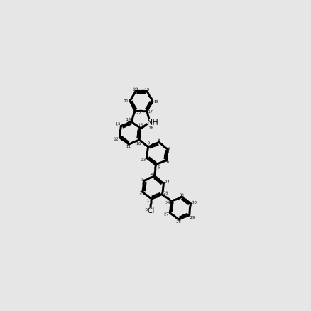 Clc1ccc(-c2cccc(-c3cccc4c3[nH]c3ccccc34)c2)cc1-c1ccccc1